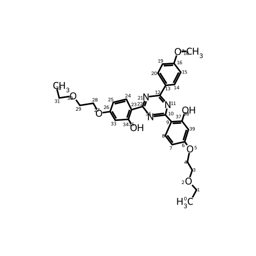 CCOCCOc1ccc(-c2nc(-c3ccc(OC)cc3)nc(-c3ccc(OCCOCC)cc3O)n2)c(O)c1